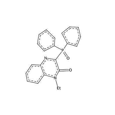 CCn1c(=O)c(P(=O)(c2ccccc2)c2ccccc2)nc2ccccc21